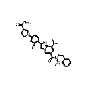 C[C@@H]1c2ccccc2CCN1C(=O)c1cc(N(C)C)c2nc(-c3ccc(N4CCC(C(N)=O)C4)cc3F)cn2c1